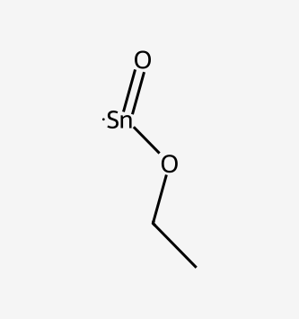 CC[O][Sn]=[O]